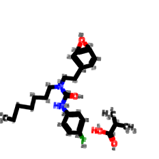 CC(C)C(=O)O.CCCCCCCN(CCc1ccc2c(c1)O2)C(=O)Nc1ccc(F)cc1